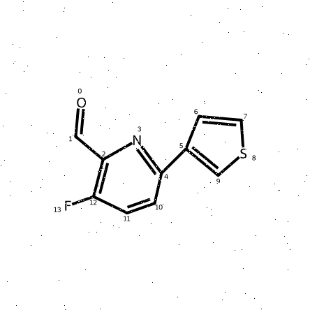 O=Cc1nc(-c2ccsc2)ccc1F